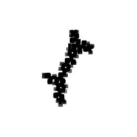 CC(C)(C)OC(=O)/N=C(/NC(=O)OC(C)(C)C)Nc1ccc(C(=O)Oc2ccc(COC(=O)N(CC(=O)O)Cc3cccc(C(=O)OC(C)(C)C)c3)cc2)cc1